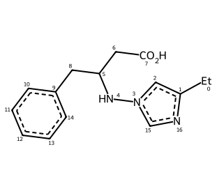 CCc1cn(NC(CC(=O)O)Cc2ccccc2)cn1